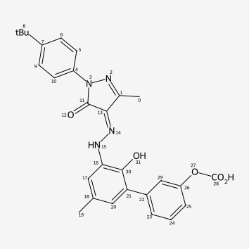 CC1=NN(c2ccc(C(C)(C)C)cc2)C(=O)C1=NNc1cc(C)cc(-c2cccc(OC(=O)O)c2)c1O